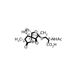 CC(=O)N[C@@H](CS[C@]1(C)O[C@@H](C(C)C)[C@]2(NC(=O)[C@H](C)[C@@H]2O)C1=O)C(=O)O